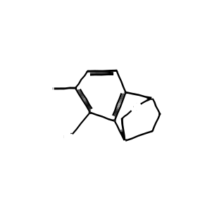 Clc1c(I)ccc2c1C1CCC2CC1